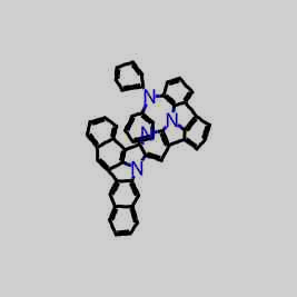 c1ccc(N(c2ccccc2)c2cccc3c4cccc5c6cc7c(nc6n(c23)c54)c2c3ccccc3cc3c4cc5ccccc5cc4n7c32)cc1